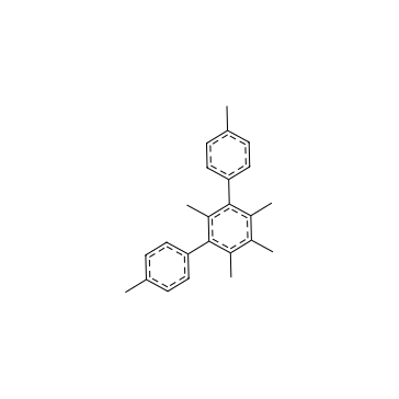 Cc1ccc(-c2c(C)c(C)c(C)c(-c3ccc(C)cc3)c2C)cc1